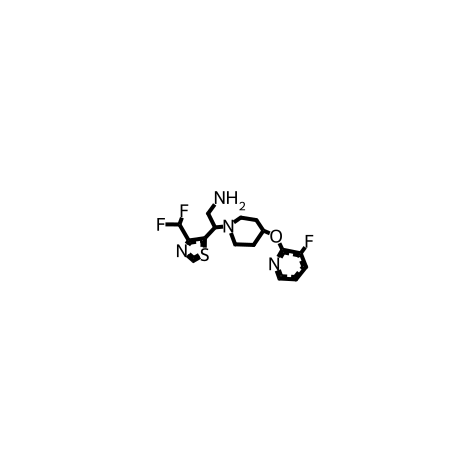 NCC(c1scnc1C(F)F)N1CCC(Oc2ncccc2F)CC1